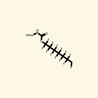 CCCCCCNC(=O)OC(F)(F)C(F)(F)C(F)(F)C(F)(F)C(F)(F)C(F)(F)CF